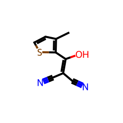 Cc1ccsc1C(O)=C(C#N)C#N